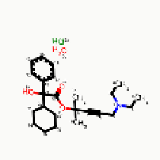 CCN(CC)CC#CC(C)(C)OC(=O)C(O)(c1ccccc1)C1CCCCC1.Cl.O